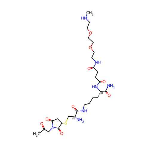 CNCCOCCOCCNC(=O)CCC(=O)N[C@@H](CCCCNC(=O)[C@H](N)CSC1CC(=O)N(CC(C)=O)C1=O)C(N)=O